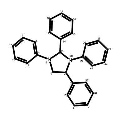 c1ccc(C2CN(c3ccccc3)C(c3ccccc3)N2c2ccccc2)cc1